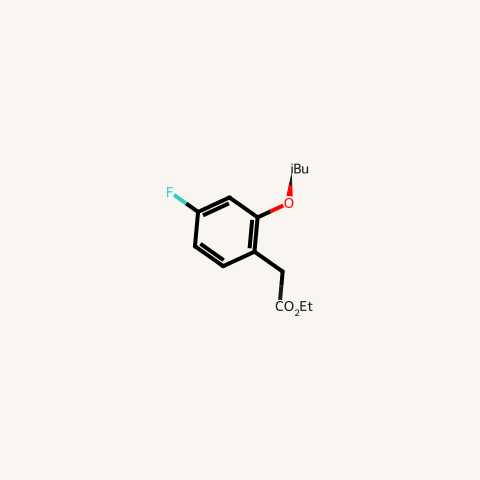 CCOC(=O)Cc1ccc(F)cc1O[C@H](C)CC